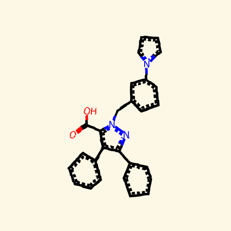 O=C(O)c1c(-c2ccccc2)c(-c2ccccc2)nn1Cc1cccc(-n2cccc2)c1